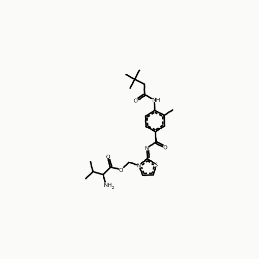 Cc1cc(C(=O)N=c2sccn2COC(=O)C(N)C(C)C)ccc1NC(=O)CC(C)(C)C